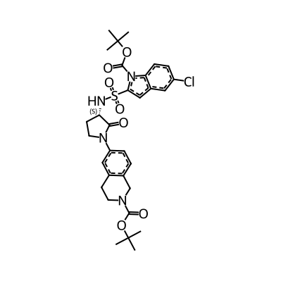 CC(C)(C)OC(=O)N1CCc2cc(N3CC[C@H](NS(=O)(=O)c4cc5cc(Cl)ccc5n4C(=O)OC(C)(C)C)C3=O)ccc2C1